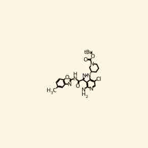 Cc1ccc2oc(NC(=O)c3nn([C@@H]4CCCN(C(=O)OC(C)(C)C)C4)c4c(Cl)cnc(N)c34)nc2c1